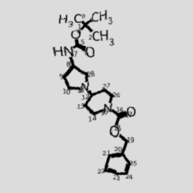 CC(C)(C)OC(=O)NC1CCN(C2CCN(C(=O)OCc3ccccc3)CC2)C1